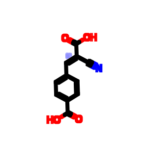 N#C/C(=C\c1ccc(C(=O)O)cc1)C(=O)O